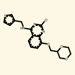 Clc1nc(NCc2ccsc2)c2cccc(OCC3COCCO3)c2n1